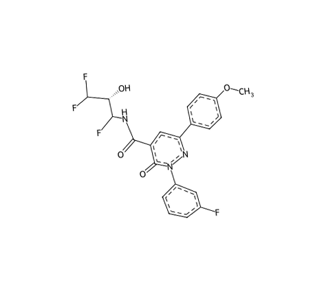 COc1ccc(-c2cc(C(=O)NC(F)[C@@H](O)C(F)F)c(=O)n(-c3cccc(F)c3)n2)cc1